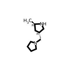 C[C@@H]1C[C@@H](CN2CCCC2)CN1